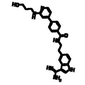 N=C(N)c1c[nH]c2ccc(CCNC(=O)c3ccc(-c4ccnc(NCCCO)c4)cc3)cc12